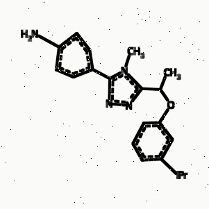 CC(C)c1cccc(OC(C)c2nnc(-c3ccc(N)cc3)n2C)c1